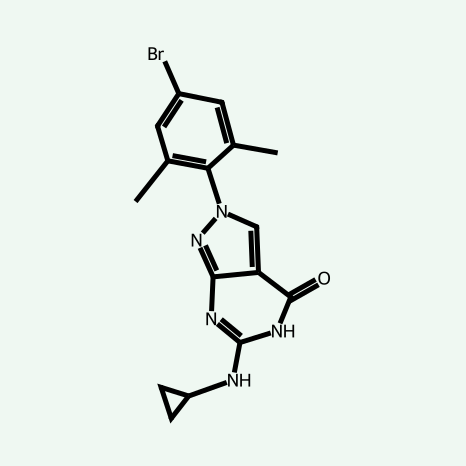 Cc1cc(Br)cc(C)c1-n1cc2c(=O)[nH]c(NC3CC3)nc2n1